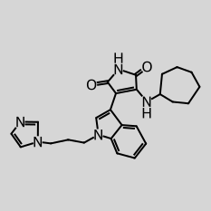 O=C1NC(=O)C(c2cn(CCCn3ccnc3)c3ccccc23)=C1NC1CCCCCC1